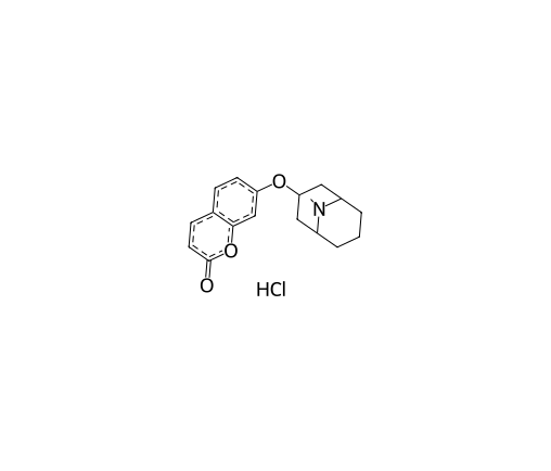 CN1C2CCCC1CC(Oc1ccc3ccc(=O)oc3c1)C2.Cl